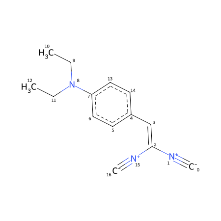 [C-]#[N+]C(=Cc1ccc(N(CC)CC)cc1)[N+]#[C-]